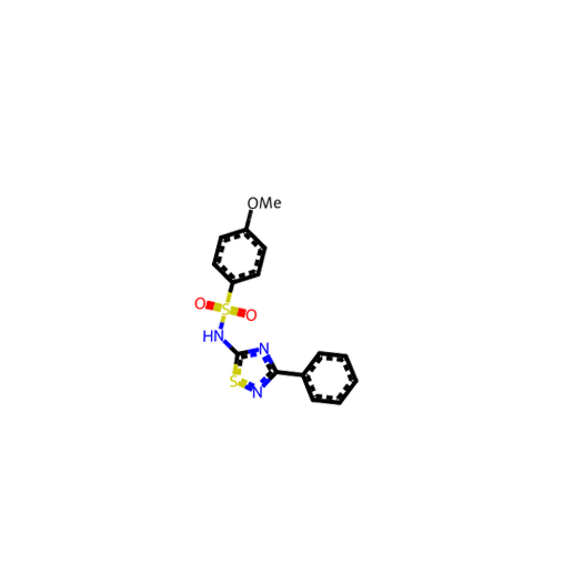 COc1ccc(S(=O)(=O)Nc2nc(-c3ccccc3)ns2)cc1